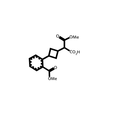 COC(=O)c1ccccc1C1CC(C(C(=O)O)C(=O)OC)C1